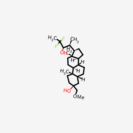 COC[C@]1(O)CC[C@@]2(C)[C@H](CC[C@@H]3[C@@H]2CC[C@]2(C)[C@@H]([C@H](C)[C@@H](O)C(C)(F)F)CC[C@@H]32)C1